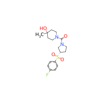 CC1(O)CCN(C(=O)N2CC[C@H](S(=O)(=O)c3ccc(F)cc3)C2)CC1